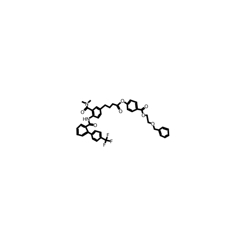 CN(C)C(=O)c1cc(CCCC(=O)Oc2ccc(C(=O)OCCOCc3ccccc3)cc2)ccc1NC(=O)c1ccccc1-c1ccc(C(F)(F)F)cc1